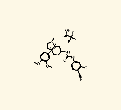 COc1ccc([C@]23CC[C@H](NC(=O)Nc4ccc(C#N)c(Cl)c4)C[C@H]2N(C)CC3)cc1OC.O=C(O)C(F)(F)F